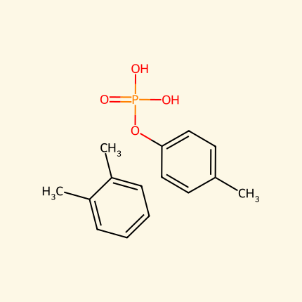 Cc1ccc(OP(=O)(O)O)cc1.Cc1ccccc1C